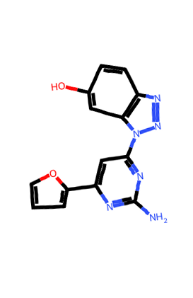 Nc1nc(-c2ccco2)cc(-n2nnc3ccc(O)cc32)n1